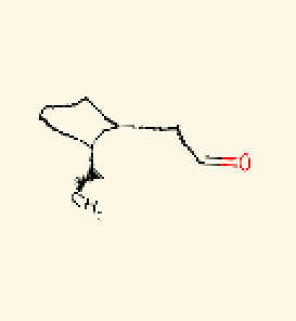 CC1CCC1CC=O